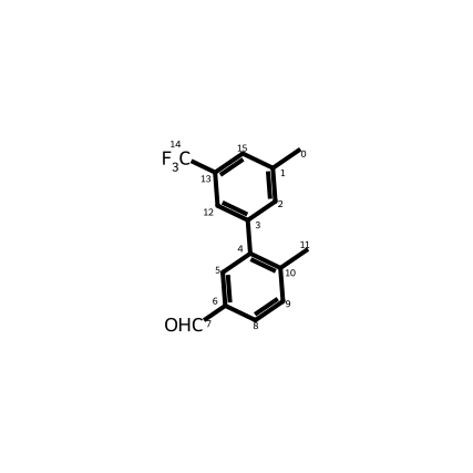 Cc1cc(-c2cc(C=O)ccc2C)cc(C(F)(F)F)c1